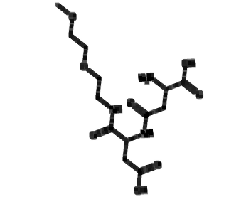 COCCOCCNC(=O)C(CC(=O)O)NC(=O)CC(N)C(=O)O